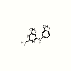 Cc1cccc(Nc2cc(C)nc(C)n2)c1